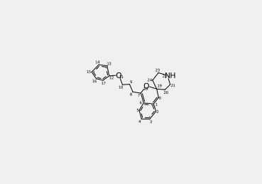 C1=c2ccccc2=C(CCCOc2ccccc2)OC12CCNCC2